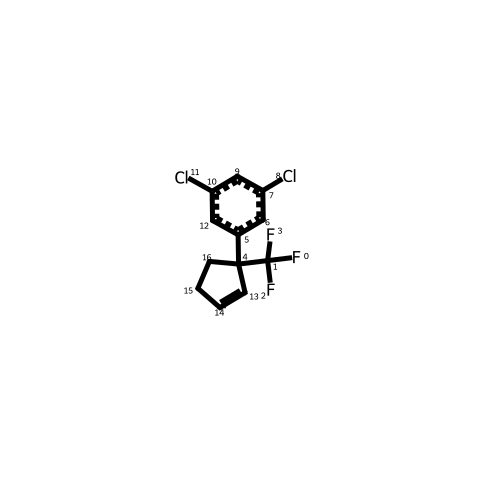 FC(F)(F)C1(c2cc(Cl)cc(Cl)c2)C=[C]CC1